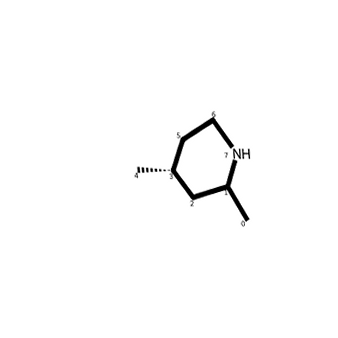 CC1C[C@H](C)CCN1